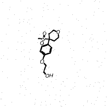 CS(=O)(=O)C1(c2ccc(OCCO)cc2)CCOCC1